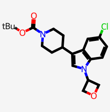 CC(C)(C)OC(=O)N1CCC(c2cn(C3COC3)c3ccc(Cl)cc23)CC1